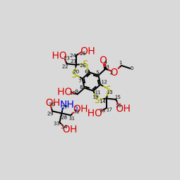 CCOC(=O)c1c2c(c(CO)c3c1SC(CO)(CO)S3)SC(CO)(CO)S2.NC(CO)(CO)CO